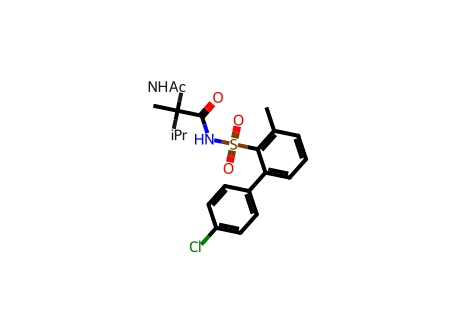 CC(=O)NC(C)(C(=O)NS(=O)(=O)c1c(C)cccc1-c1ccc(Cl)cc1)C(C)C